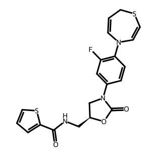 O=C(NC[C@H]1CN(c2ccc(N3C=CCSC=C3)c(F)c2)C(=O)O1)c1cccs1